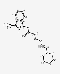 Cc1nn(CC(=O)NCCNCC2CCCCC2)c2ccccc12